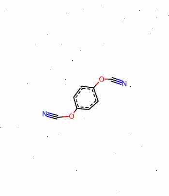 N#COc1ccc(OC#N)cc1